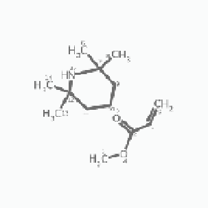 C=CC(=O)OC.CC1(C)CCCC(C)(C)N1